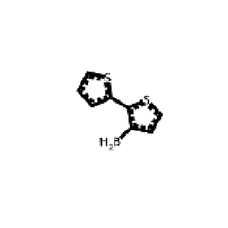 Bc1ccsc1-c1cccs1